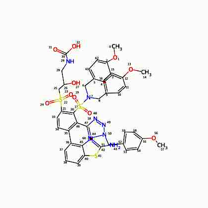 COc1ccc(CN(Cc2ccc(OC)cc2)S(=O)(=O)c2c(S(=O)(=O)CC(O)CNC(=O)O)ccc(-c3cccc4sc(N)nc34)c2-c2nnn(Cc3ccc(OC)cc3)n2)cc1